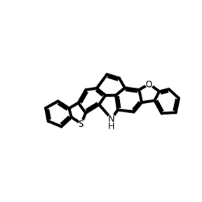 c1ccc2c(c1)oc1c2cc2[nH]c3c4sc5ccccc5c4cc4ccc1c2c43